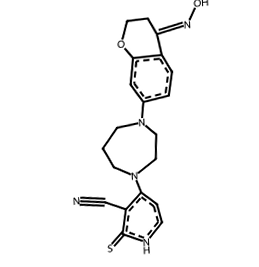 N#Cc1c(N2CCCN(c3ccc4c(c3)OCCC4=NO)CC2)cc[nH]c1=S